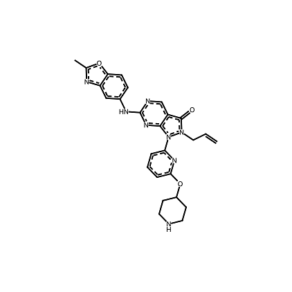 C=CCn1c(=O)c2cnc(Nc3ccc4oc(C)nc4c3)nc2n1-c1cccc(OC2CCNCC2)n1